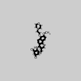 COc1ccc2c(ccc3c(Nc4ccc(Cl)cc4Cl)c(C#N)cnc32)c1OCCN1CCOCC1